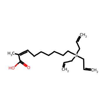 C=CC[Si](CC=C)(CC=C)CCCCCCC=C(C)C(=O)O